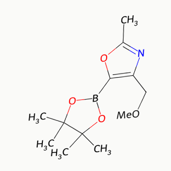 COCc1nc(C)oc1B1OC(C)(C)C(C)(C)O1